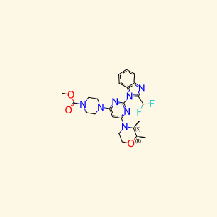 COC(=O)N1CCN(c2cc(N3CCO[C@H](C)[C@@H]3C)nc(-n3c(C(F)F)nc4ccccc43)n2)CC1